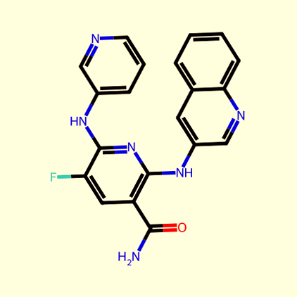 NC(=O)c1cc(F)c(Nc2cccnc2)nc1Nc1cnc2ccccc2c1